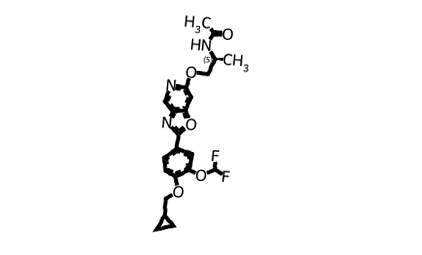 CC(=O)N[C@@H](C)COc1cc2oc(-c3ccc(OCC4CC4)c(OC(F)F)c3)nc2cn1